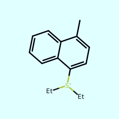 CC[S+](CC)c1ccc(C)c2ccccc12